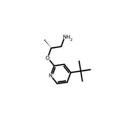 C[C@H](CN)Oc1cc(C(C)(C)C)ccn1